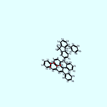 CC1(C)c2cc(N(c3ccc(-c4ccccc4)cc3)c3ccccc3-c3cc4ccccc4cc3-c3ccccc3)ccc2-c2c(-c3ccccc3)cccc21